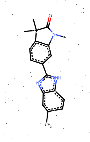 CN1C(=O)C(C)(C)c2ccc(-c3nc4cc(C(F)(F)F)ccc4[nH]3)cc21